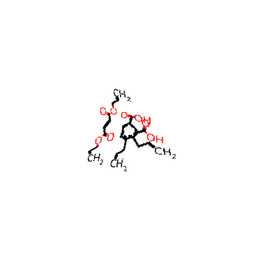 C=CCOC(=O)C=CC(=O)OCC=C.C=CCc1ccc(C(=O)O)c(C(=O)O)c1CC=C